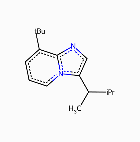 CC(C)C(C)c1cnc2c(C(C)(C)C)cccn12